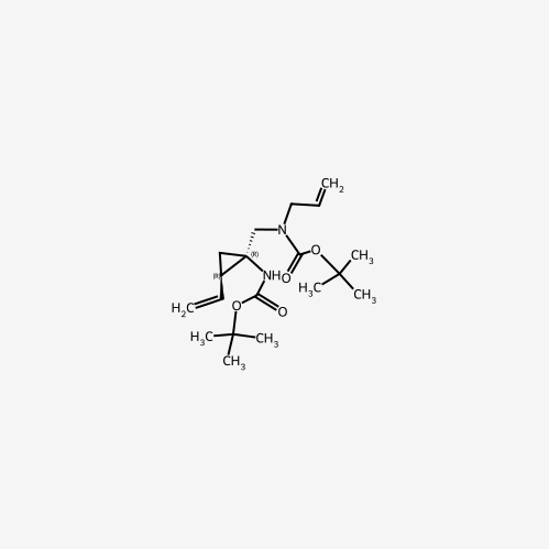 C=CCN(C[C@@]1(NC(=O)OC(C)(C)C)C[C@@H]1C=C)C(=O)OC(C)(C)C